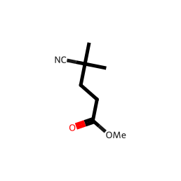 COC(=O)CCC(C)(C)C#N